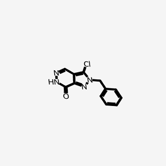 O=c1[nH]ncc2c(Cl)n(Cc3ccccc3)nc12